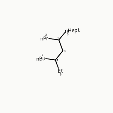 CCCCCCCC(CCC)CC(CC)CCCC